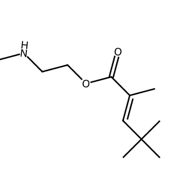 CNCCOC(=O)C(C)=CC(C)(C)C